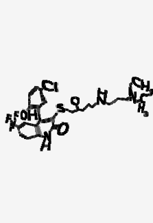 CCN(CC)CCCNCCCC(=O)CSc1c(-c2cc(Cl)ccc2O)c2cc(C(F)(F)F)ccc2[nH]c1=O